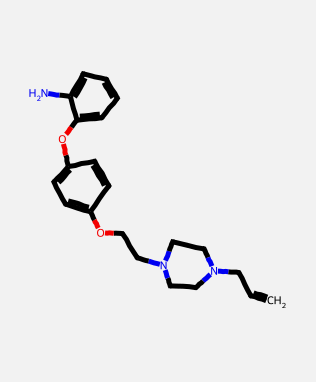 C=CCN1CCN(CCOc2ccc(Oc3ccccc3N)cc2)CC1